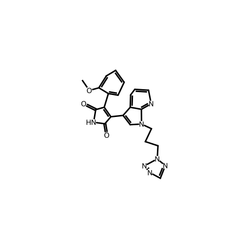 COc1ccccc1C1=C(c2cn(CCCn3ncnn3)c3ncccc23)C(=O)NC1=O